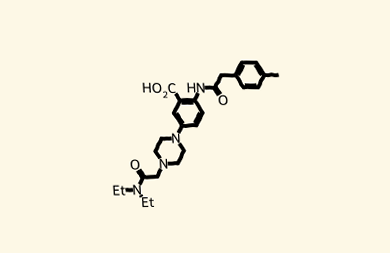 CCN(CC)C(=O)CN1CCN(c2ccc(NC(=O)Cc3ccc(C)cc3)c(C(=O)O)c2)CC1